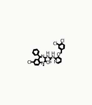 CN1C(=O)C(NC(=S)Nc2ncccc2OCc2ccc(Cl)c(Cl)c2)N=C(c2ccccc2)c2cc(Cl)ccc21